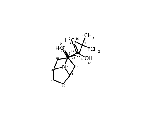 CC(C)(C)OC(=O)N1C2CCC1CC(C)(C(=O)O)C2